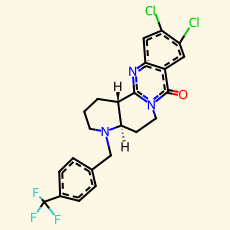 O=c1c2cc(Cl)c(Cl)cc2nc2n1CC[C@@H]1[C@@H]2CCCN1Cc1ccc(C(F)(F)F)cc1